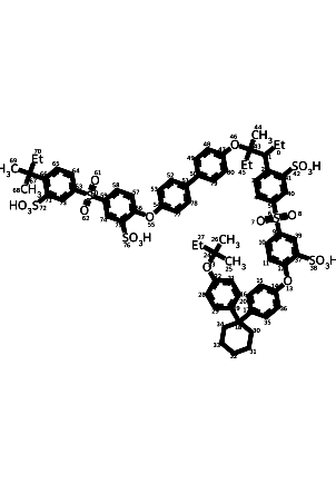 CCC(c1ccc(S(=O)(=O)c2ccc(Oc3ccc(C4(c5ccc(OC(C)(C)CC)cc5)CCCCC4)cc3)c(S(=O)(=O)O)c2)cc1S(=O)(=O)O)C(C)(CC)Oc1ccc(-c2ccc(Oc3ccc(S(=O)(=O)c4ccc(C(C)(C)CC)c(S(=O)(=O)O)c4)cc3S(=O)(=O)O)cc2)cc1